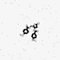 Cc1ccc(C(=O)OC[C@H]2O[C@@H](Cl)C[C@@H]2OC(=O)c2ccc(C)cc2)cc1